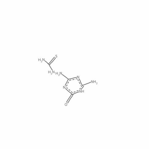 NC(N)=S.Nc1nc(N)[nH]c(=O)n1